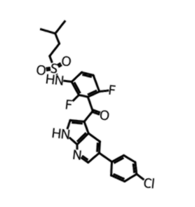 CC(C)CCS(=O)(=O)Nc1ccc(F)c(C(=O)c2c[nH]c3ncc(-c4ccc(Cl)cc4)cc23)c1F